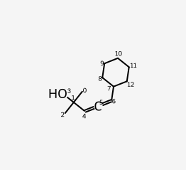 CC(C)(O)C=C=CC1CCCCC1